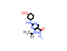 C=C(CC)Nc1nc(N[C@@H]2CCC[C@H](O)C2)ncc1C(N)=O